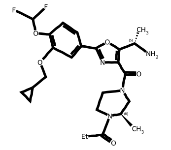 CCC(=O)N1CCN(C(=O)c2nc(-c3ccc(OC(F)F)c(OCC4CC4)c3)oc2[C@H](C)N)C[C@H]1C